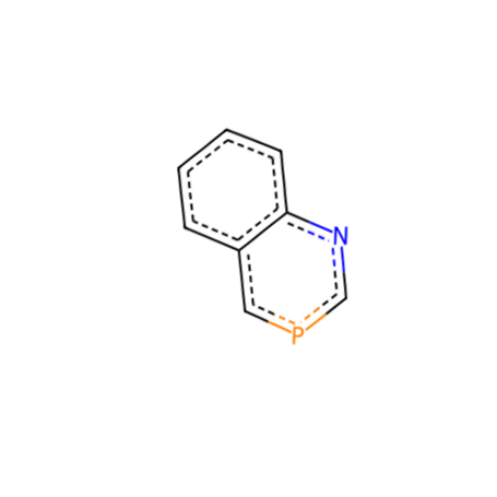 c1ccc2ncpcc2c1